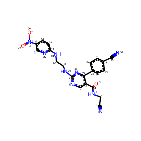 N#CCNC(=O)c1cnc(NCCNc2ccc([N+](=O)[O-])cn2)nc1-c1ccc(C#N)cc1